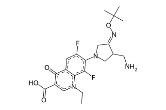 CCn1cc(C(=O)O)c(=O)c2cc(F)c(N3C/C(=N\OC(C)(C)C)C(CN)C3)c(F)c21